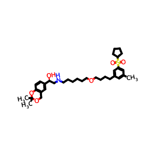 Cc1cc(CCCCOCCCCCCNC[C@H](O)c2ccc3c(c2)COC(C)(C)O3)cc(S(=O)(=O)C2CCCC2)c1